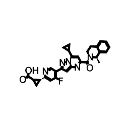 C[C@@H]1c2ccccc2CCN1C(=O)c1cc(C2CC2)n2nc(-c3cnc([C@@H]4CC4C(=O)O)cc3F)cc2n1